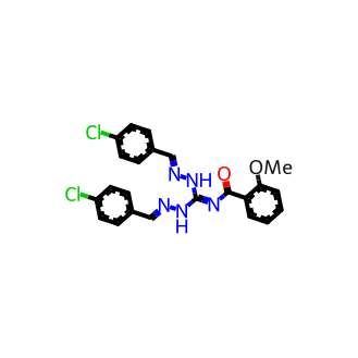 COc1ccccc1C(=O)N=C(N/N=C/c1ccc(Cl)cc1)N/N=C/c1ccc(Cl)cc1